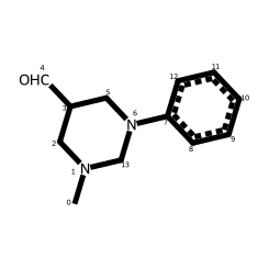 CN1CC(C=O)CN(c2ccccc2)C1